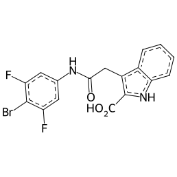 O=C(Cc1c(C(=O)O)[nH]c2ccccc12)Nc1cc(F)c(Br)c(F)c1